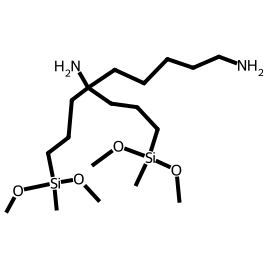 CO[Si](C)(CCCC(N)(CCCCCN)CCC[Si](C)(OC)OC)OC